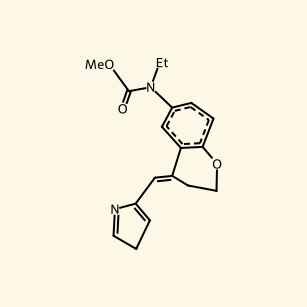 CCN(C(=O)OC)c1ccc2c(c1)/C(=C/C1=CCC=N1)CCO2